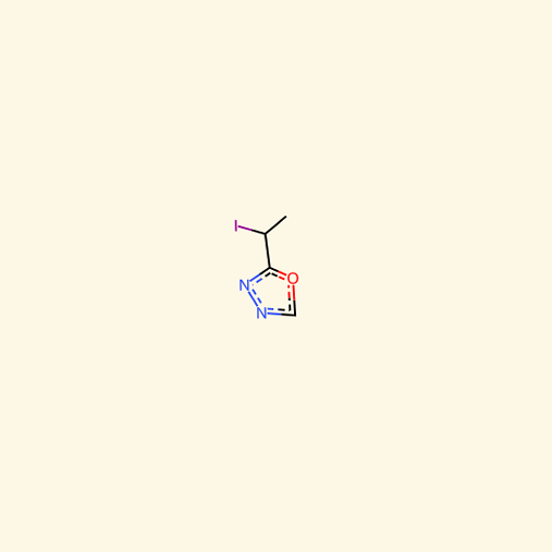 CC(I)c1nnco1